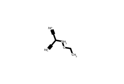 C#CC(C#C)[SiH2]OCC